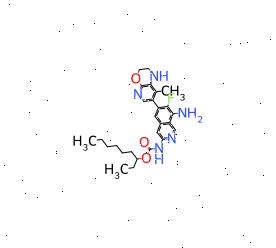 CCCCCCC(CC)OC(=O)Nc1cc2cc(-c3cnc4c(c3C)NCCO4)c(F)c(N)c2cn1